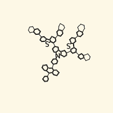 c1ccc(-c2c3ccccc3c(-c3ccc(-n4c5ccc(-c6cc(-c7ccc8c(c7)CCCC8)cc7c6sc6ccc(-c8ccc9c(c8)CCCC9)cc67)cc5c5cc(-c6cc(-c7ccc8c(c7)CCCC8)cc7c6sc6ccc(-c8ccc9c(c8)CCCC9)cc67)ccc54)cc3)c3ccccc23)cc1